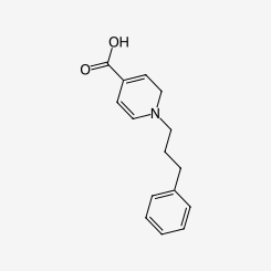 O=C(O)C1=CCN(CCCc2ccccc2)C=C1